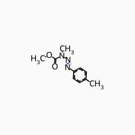 COC(=O)N(C)/N=N/c1ccc(C)cc1